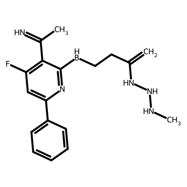 C=C(CCBc1nc(-c2ccccc2)cc(F)c1C(C)=N)NNNC